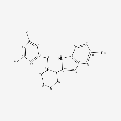 Cc1cc(C)cc(CN2CCCCC2c2cc3cc(F)ccc3[nH]2)c1